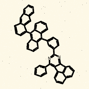 c1ccc(-c2nc(-c3cccc(-c4c5ccccc5c(-c5cccc6cc7ccccc7cc56)c5ccccc45)c3)nc3c2-c2cccc4cccc-3c24)cc1